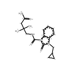 CC(C)(CNC(=O)n1c(=O)n(CC2CC2)c2ccccc21)CC(N)=O